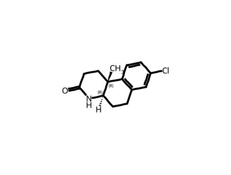 C[C@]12CCC(=O)N[C@@H]1CCc1cc(Cl)ccc12